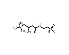 C[N+](C)(C)C[C@H](O)CC(=O)NCCS(=O)(=O)[O-]